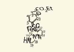 CCOC(=O)c1cc2ccc(S(=O)(=O)Nc3cccnc3N3CCNCC3)cc2o1